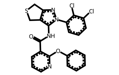 O=C(Nc1c2c(nn1-c1cccc(Cl)c1Cl)CSC2)c1cccnc1Oc1ccccc1